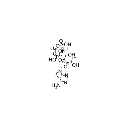 CC(O)[C@H](O)[C@H](OC(C)n1ccc2c(N)ncnc21)[C@H](C)OP(=O)(O)OP(=O)(O)OP(=O)(O)O